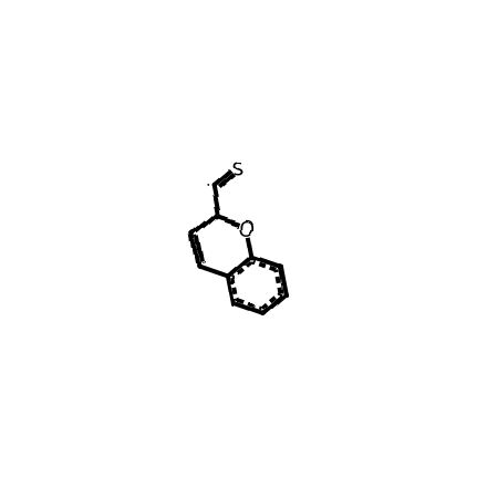 S=[C]C1C=Cc2ccccc2O1